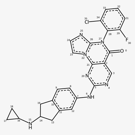 O=c1c2cnc(Nc3ccc4c(c3)CC(NC3CC3)C4)nc2n2ccnc2n1-c1c(F)cccc1Cl